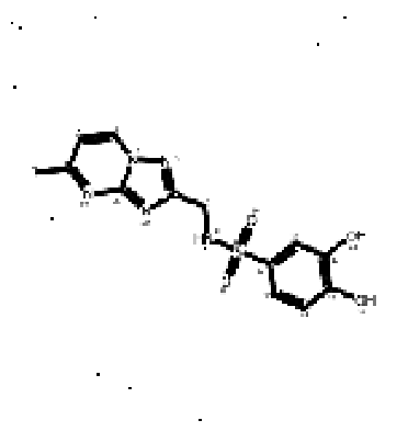 Cc1c[c]n2nc(CNS(=O)(=O)c3ccc(O)c(O)c3)nc2n1